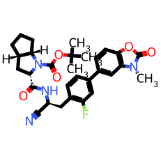 Cn1c(=O)oc2ccc(-c3ccc(C[C@@H](C#N)NC(=O)[C@@H]4C[C@@H]5CCC[C@@H]5N4C(=O)OC(C)(C)C)c(F)c3)cc21